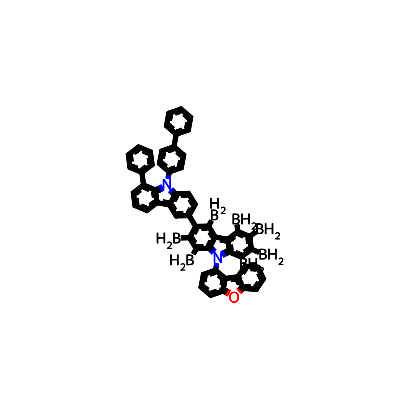 Bc1c(B)c(B)c2c(c1B)c1c(B)c(-c3ccc4c(c3)c3cccc(-c5ccccc5)c3n4-c3ccc(-c4ccccc4)cc3)c(B)c(B)c1n2-c1cccc2oc3ccccc3c12